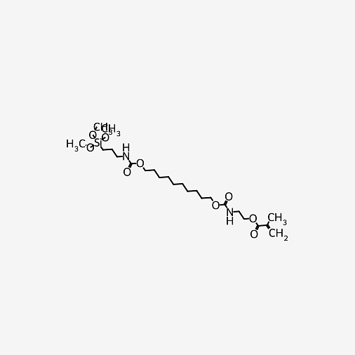 C=C(C)C(=O)OCCNC(=O)OCCCCCCCCCCOC(=O)NCCC[Si](OC)(OC)OC